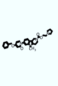 Cn1c2c(c3ccc(-n4ccc(OCc5ccccc5)cc4=O)cc31)CN(C(=O)OCCN1CCCC1)CC2